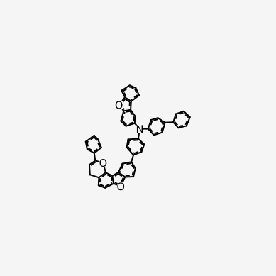 C1=C(c2ccccc2)Oc2c(ccc3oc4ccc(-c5ccc(N(c6ccc(-c7ccccc7)cc6)c6ccc7oc8ccccc8c7c6)cc5)cc4c23)C1